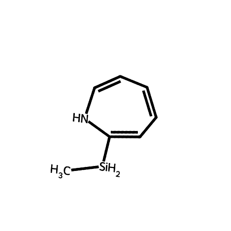 C[SiH2]C1=CC=CC=CN1